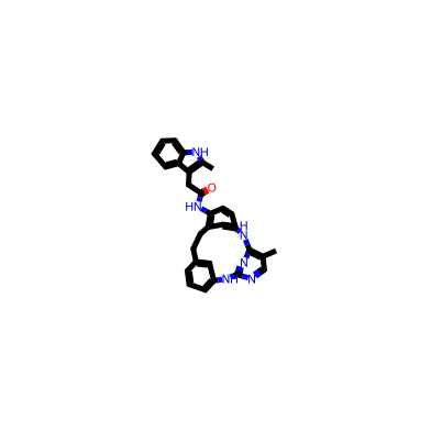 Cc1cnc2nc1Nc1ccc(NC(=O)Cc3c(C)[nH]c4ccccc34)c(c1)CCc1cccc(c1)N2